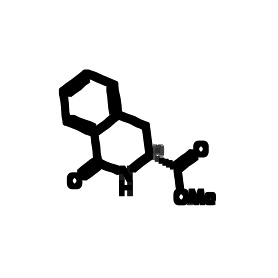 COC(=O)[C@H]1Cc2ccccc2C(=O)N1